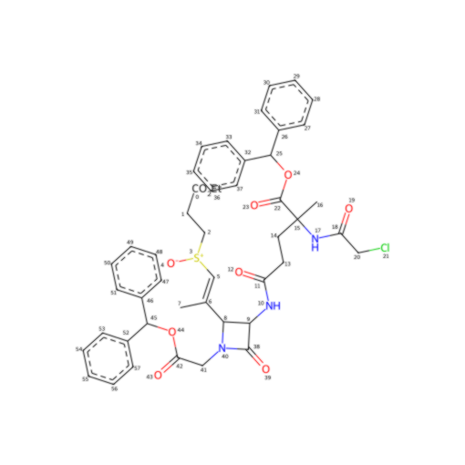 CCOC(=O)CC[S+]([O-])C=C(C)C1C(NC(=O)CCC(C)(NC(=O)CCl)C(=O)OC(c2ccccc2)c2ccccc2)C(=O)N1CC(=O)OC(c1ccccc1)c1ccccc1